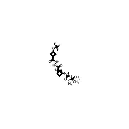 CC(C)(C)OC(=O)NC12CC(C1)[C@H](C(=O)NNC(=O)C1CC(OC(F)(F)F)C1)C2